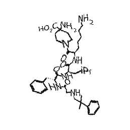 CC(C)C[C@@H](NC(=O)[C@@H](Cc1ccccc1)NC(=O)CNCC(C)(C)c1ccccc1)C(=O)N[C@H](CCCCCN)C(=O)N1CCC(N)(C(=O)O)CC1